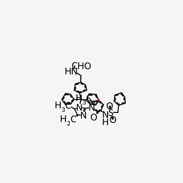 C=C1N=C(n2c(C)ccc(NS(=O)(=O)Cc3ccccc3)c2=O)N(C(c2ccccc2)(c2ccccc2)c2ccc(CNC=O)cc2)C1C